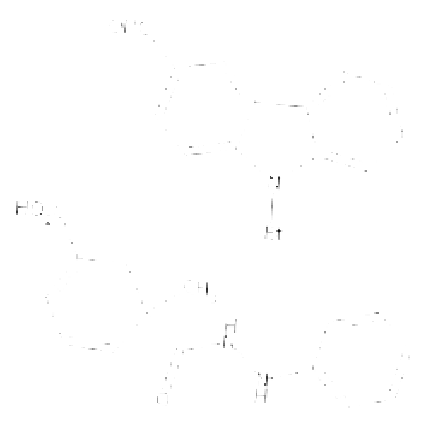 CC1(C(=O)NNc2ccccc2)C=CC=C(C(=O)O)C1.CCn1c2ccccc2c2cc(C=O)ccc21